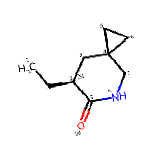 CC[C@H]1CC2(CC2)CNC1=O